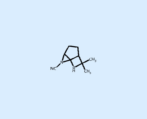 CC1(C)BC23C(CCC12)N3C#N